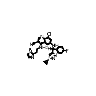 [2H]C(Nc1cc(Cl)c2ncc(C#N)c(NCCc3nccn3C)c2c1)(c1ccc(F)cc1)c1cn(C2CC2)nn1